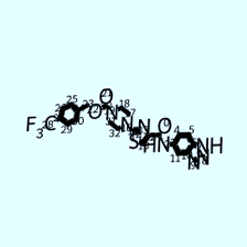 O=C(Nc1ccc2[nH]nnc2c1)c1csc(N2CCN(C(=O)OCc3ccc(C(F)(F)F)cc3)CC2)n1